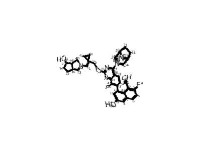 C#Cc1c(F)ccc2cc(O)cc(-c3ccc4c(N5CC6CCC(C5)N6)nc(OCC5(CN6CC7CCC(O)C7C6)CC5)nc4c3F)c12